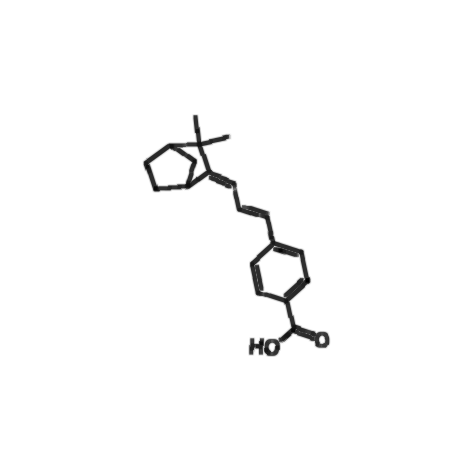 CC1(C)C(=CC=Cc2ccc(C(=O)O)cc2)C2CCC1C2